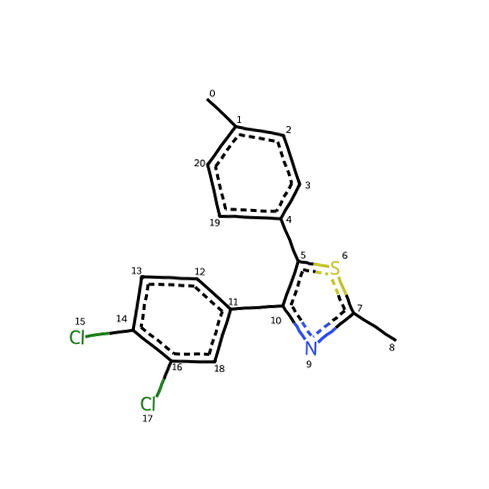 Cc1ccc(-c2sc(C)nc2-c2ccc(Cl)c(Cl)c2)cc1